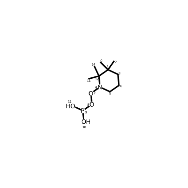 CC1(C)CCCN(OOP(O)O)C1(C)C